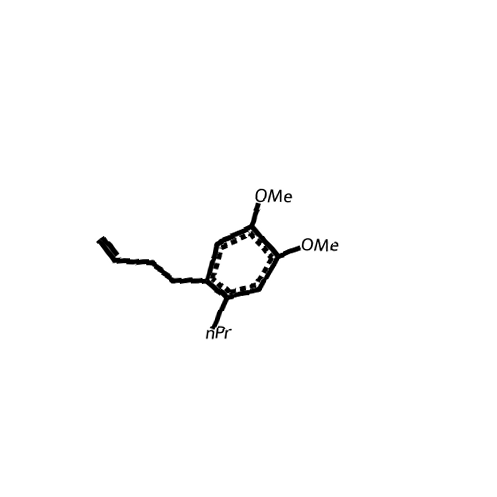 C=CCCc1cc(OC)c(OC)cc1CCC